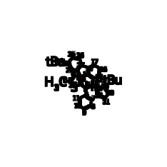 Cc1ccc([C](c2ccccc2)=[Hf]([c]2c(C(C)(C)C)ccc3c2Cc2cc(C(C)(C)C)ccc2-3)[CH]2C=CC=C2)s1